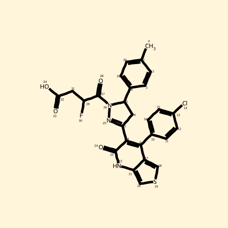 Cc1ccc(C2CC(c3c(-c4ccc(Cl)cc4)c4cscc4[nH]c3=O)=NN2C(=O)C(F)CC(=O)O)cc1